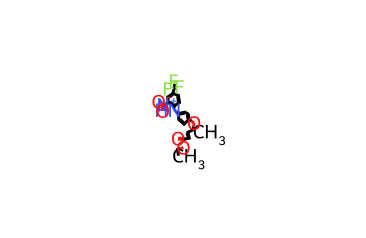 CCOC(=O)C=CC(C)Oc1ccc(Nc2ccc(C(F)(F)F)cc2[N+](=O)[O-])cc1